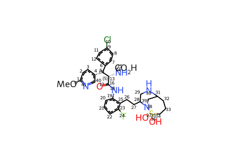 COc1ccc([C@H](c2ccc(Cl)cc2)[C@H](NC(=O)O)C(=O)Nc2cccc(F)c2CCC2CNC3CCCS(O)(O)N2C3)cn1